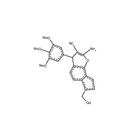 COc1cc(C2C(C#N)=C(N)Oc3c2ccc2c3ccn2CO)cc(OC)c1OC